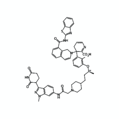 Cc1c(O[C@@H](C)CCC2CCN(CC(=O)Nc3ccc4c(C5CCC(=O)NC5=O)nn(C)c4c3)CC2)cccc1C1(N2C=Cc3cccc(C(=O)Nc4nc5ccccc5s4)c3C2)CC=CN=C1C(=O)O